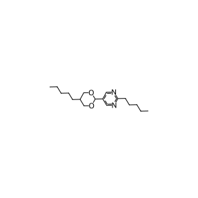 CCCCCc1ncc(C2OCC(CCCCC)CO2)cn1